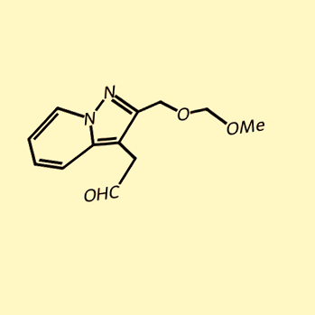 COCOCc1nn2ccccc2c1CC=O